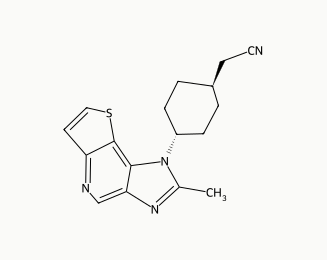 Cc1nc2cnc3ccsc3c2n1[C@H]1CC[C@H](CC#N)CC1